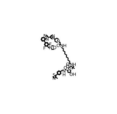 Cc1ncsc1-c1ccc(CNC(=O)[C@@H]2C[C@@H](O)CN2C(=O)C(NC(=O)CCCCCCCCCCNC(=O)CN2CCC(n3cc(-c4cnc5cccc(-c6cc(F)c(CN7CCOCC7)c(F)c6)c5n4)cn3)CC2)C(C)(C)C)cc1